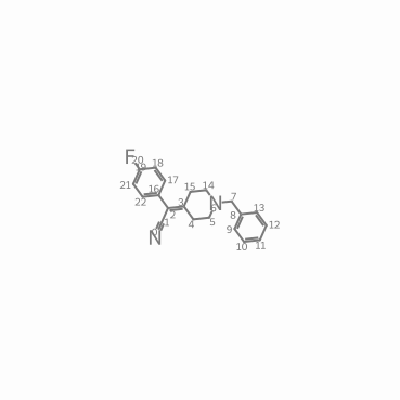 N#CC(=C1CCN(Cc2ccccc2)CC1)c1ccc(F)cc1